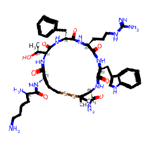 C[C@@H](O)[C@@H]1NC(=O)[C@@H](NC(=O)[C@H](N)CCCCN)CCSSC(C)(C)[C@@H](C(N)=O)NC(=O)[C@H](Cc2c[nH]c3ccccc23)NC(=O)[C@H](CCCNC(=N)N)NC(=O)[C@@H](Cc2ccccc2)NC1=O